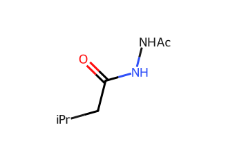 CC(=O)NNC(=O)CC(C)C